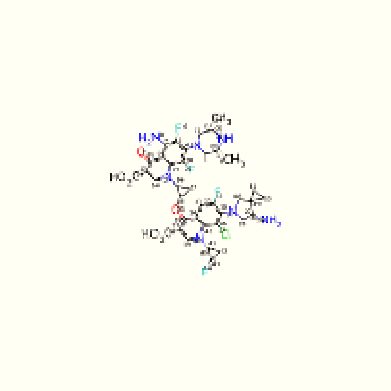 C[C@@H]1CN(c2c(F)c(N)c3c(=O)c(C(=O)O)cn(C4CC4)c3c2F)C[C@H](C)N1.N[C@@H]1CN(c2c(F)cc3c(=O)c(C(=O)O)cn([C@@H]4C[C@@H]4F)c3c2Cl)CC12CC2